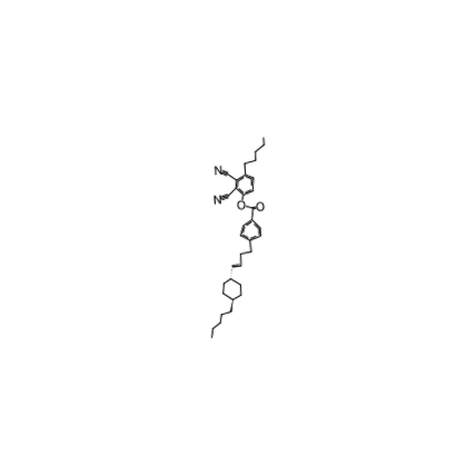 CCCCCc1ccc(OC(=O)c2ccc(CCC=C[C@H]3CC[C@H](CCCCC)CC3)cc2)c(C#N)c1C#N